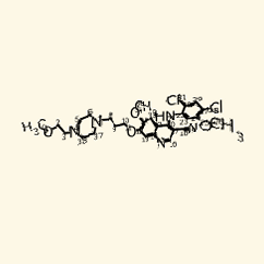 COCCN1CCN(CCCOc2cc3ncc(C#N)c(Nc4cc(OC)c(Cl)cc4Cl)c3cc2OC)CC1